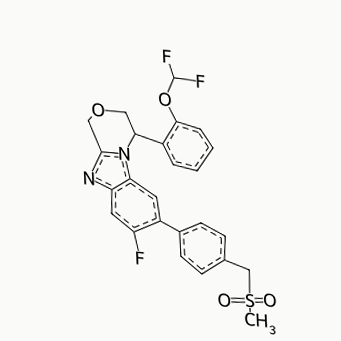 CS(=O)(=O)Cc1ccc(-c2cc3c(cc2F)nc2n3C(c3ccccc3OC(F)F)COC2)cc1